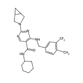 Cc1ccc(CNc2nc(N3CC4CC4C3)ncc2C(=O)NC2CCCCC2)cc1C(F)(F)F